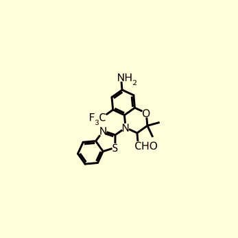 CC1(C)Oc2cc(N)cc(C(F)(F)F)c2N(c2nc3ccccc3s2)C1C=O